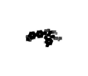 Cc1cccc(CN(C(=O)c2ccc(-c3ccc4c(c3)OCO4)cc2)[C@@H](CCC(=O)O)C(N)=O)c1